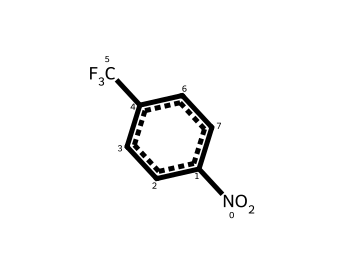 O=[N+]([O-])c1[c]cc(C(F)(F)F)cc1